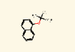 CCOC(=O)C(Oc1cccc2ccccc12)(C(F)(F)F)C(F)(F)F